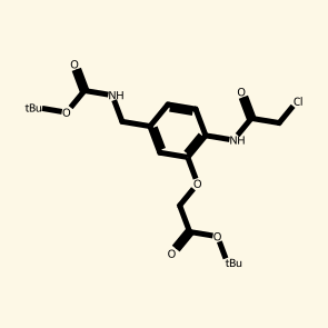 CC(C)(C)OC(=O)COc1cc(CNC(=O)OC(C)(C)C)ccc1NC(=O)CCl